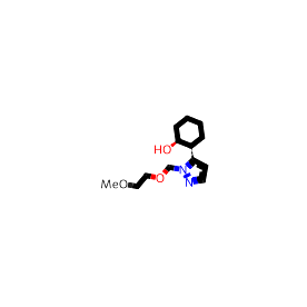 COCCOCn1nccc1[C@H]1CCCC[C@@H]1O